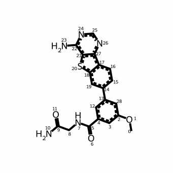 COc1cc(C(=O)NCC(N)=O)cc(-c2ccc3c(c2)sc2c(N)ncnc23)c1